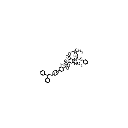 CN1CCOC(=O)c2cc(S(=O)(=O)NC(=O)c3ccc(N4CCN(CC=C(c5ccccc5)c5ccccc5)CC4)cc3)cc([N+](=O)[O-])c2N[C@@H](CSc2ccccc2)CC1